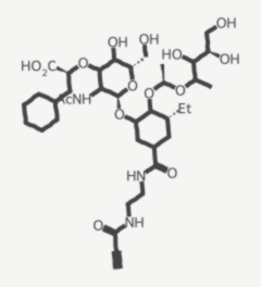 C#CC(=O)NCCNC(=O)C1CC(O[C@@H]2O[C@@H](CO)C(O)C(O[C@@H](CC3CCCCC3)C(=O)O)C2NC(C)=O)C(O[C@@H](C)OC(C)C(O)[C@H](O)CO)[C@H](CC)C1